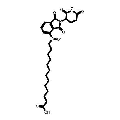 O=C(O)CCCCCCCCCCCC[S+]([O-])c1cccc2c1C(=O)N(C1CCC(=O)NC1=O)C2=O